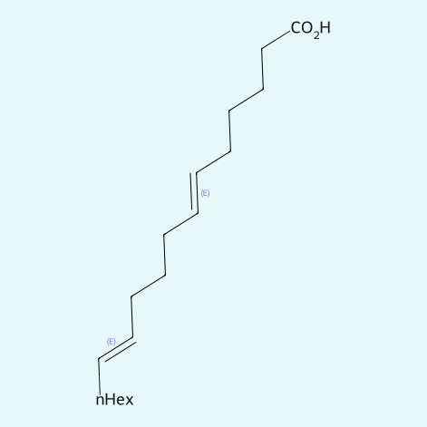 CCCCCC/C=C/CCC/C=C/CCCCC(=O)O